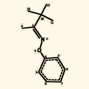 C/C(=N\Oc1ccccc1)C(C)(C)C